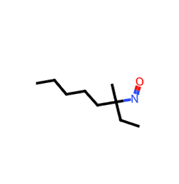 CCCCCC(C)(CC)N=O